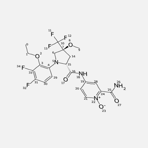 CCOc1c(N2C[C@](OC)(C(F)(F)F)C[C@@H]2C(=O)Nc2cc[n+]([O-])c(C(N)=O)c2)ccc(F)c1F